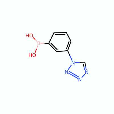 OB(O)c1cccc(-n2cnnn2)c1